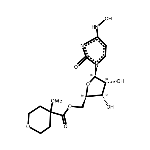 COC1(C(=O)OC[C@H]2O[C@@H](n3ccc(NO)nc3=O)[C@H](O)[C@@H]2O)CCOCC1